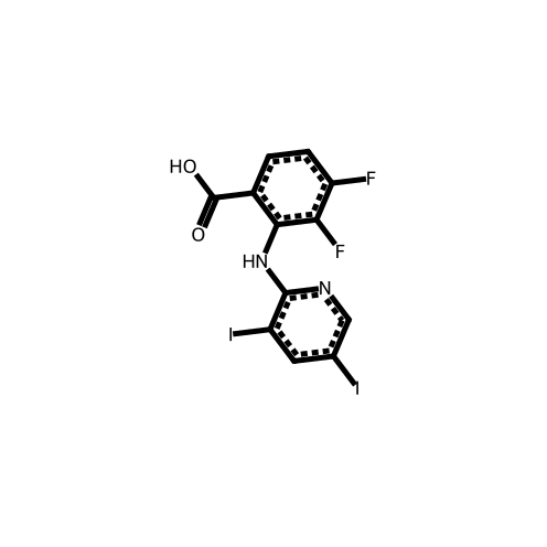 O=C(O)c1ccc(F)c(F)c1Nc1ncc(I)cc1I